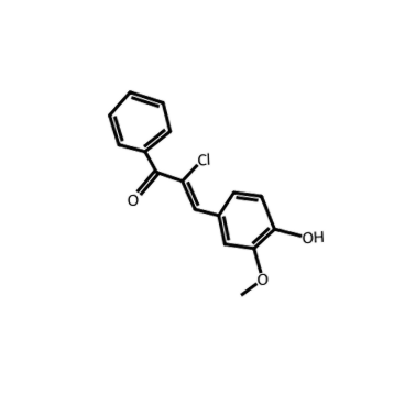 COc1cc(C=C(Cl)C(=O)c2ccccc2)ccc1O